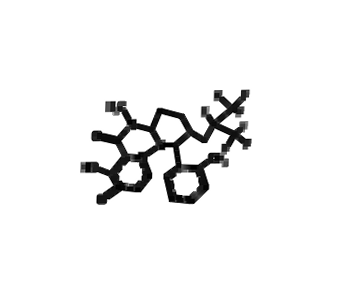 Cc1ccccc1C1C(CC(F)(C(F)(F)F)C(F)(F)F)CCC2N(C)C(=O)c3c(O)c(=O)ccn3N12